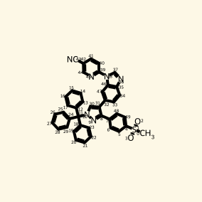 CS(=O)(=O)c1ccc(-c2nn(C(c3ccccc3)(c3ccccc3)c3ccccc3)cc2-c2ccc3ncn(-c4ccc(C#N)cn4)c3c2)cc1